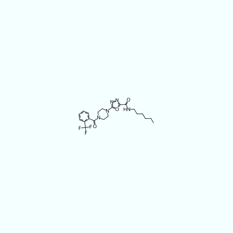 CCCCCCNC(=O)c1nnc(N2CCN(C(=O)c3ccccc3C(F)(F)F)CC2)o1